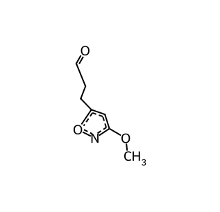 COc1cc(CCC=O)on1